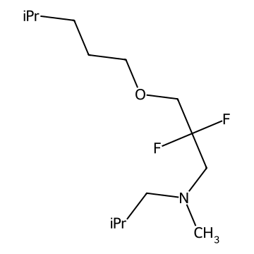 CC(C)CCCOCC(F)(F)CN(C)CC(C)C